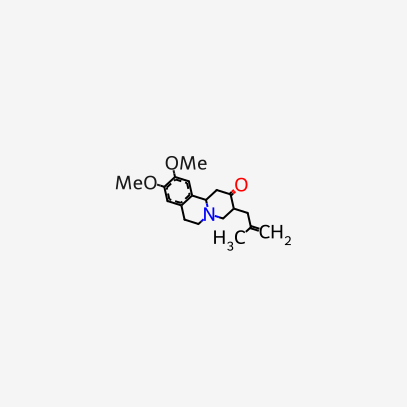 C=C(C)CC1CN2CCc3cc(OC)c(OC)cc3C2CC1=O